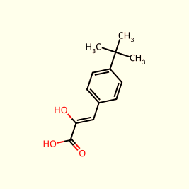 CC(C)(C)c1ccc(C=C(O)C(=O)O)cc1